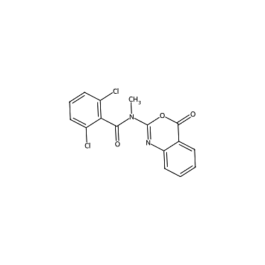 CN(C(=O)c1c(Cl)cccc1Cl)c1nc2ccccc2c(=O)o1